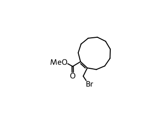 COC(=O)/C1=C(\CBr)CCCCCCCCC1